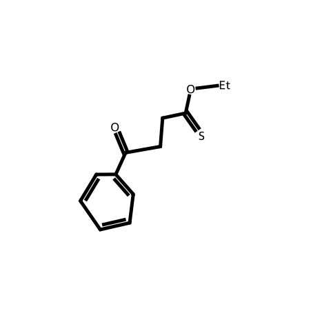 CCOC(=S)CCC(=O)c1ccccc1